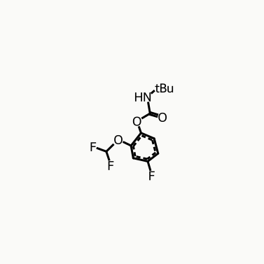 CC(C)(C)NC(=O)Oc1ccc(F)cc1OC(F)F